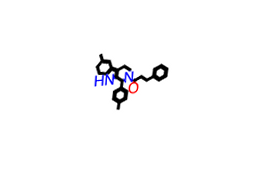 CC1=Cc2c([nH]c3c2CCN(C(=O)CCc2ccccc2)C3c2ccc(C)cc2)CC1